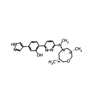 C[C@@H]1COC[C@H](C)C[C@@H](N(C)c2ccc(-c3ccc(-c4cn[nH]c4)cc3O)nn2)C1